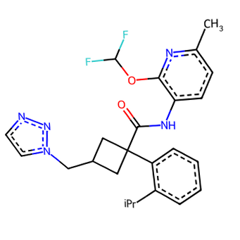 Cc1ccc(NC(=O)C2(c3ccccc3C(C)C)CC(Cn3ccnn3)C2)c(OC(F)F)n1